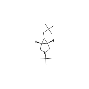 CC(C)(C)C[C@H]1[C@@H]2CN(C(C)(C)C)C[C@@H]21